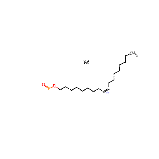 CCCCCCCC/C=C\CCCCCCCCOP=O.[Nd]